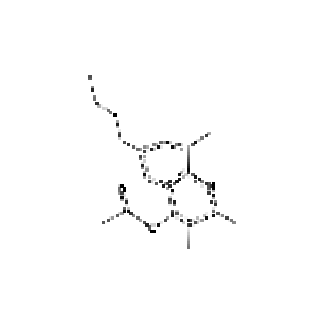 CCCCc1cc(C)c2nc(C)c(C)c(OC(C)=O)c2c1